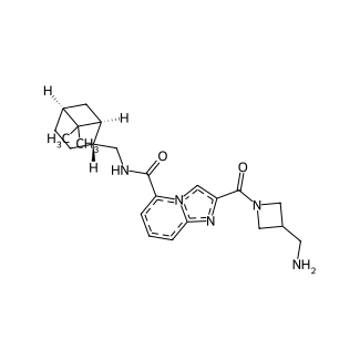 CC1(C)[C@H]2CC[C@@H](CNC(=O)c3cccc4nc(C(=O)N5CC(CN)C5)cn34)[C@@H]1C2